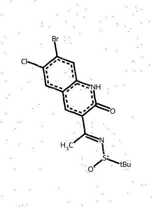 C/C(=N\[S+]([O-])C(C)(C)C)c1cc2cc(Cl)c(Br)cc2[nH]c1=O